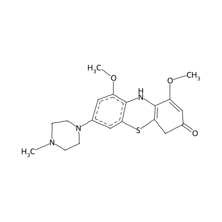 COC1=CC(=O)CC2=C1Nc1c(OC)cc(N3CCN(C)CC3)cc1S2